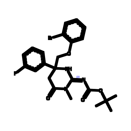 CN1C(=O)CC(COc2ccccc2Br)(c2cccc(F)c2)N/C1=N/C(=O)OC(C)(C)C